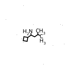 CC(C)CC(N)C1CCC1